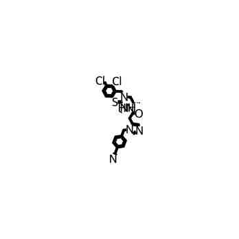 CNC(=S)N(Cc1cccc(Cl)c1Cl)C[C@H](C)NC(=O)Cc1cncn1Cc1ccc(C#N)cc1